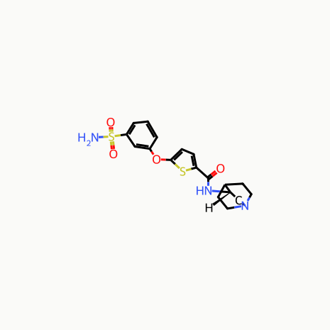 NS(=O)(=O)c1cccc(Oc2ccc(C(=O)N[C@H]3CN4CCC3CC4)s2)c1